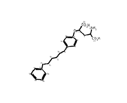 NC(CC(Oc1ccc(CCCCCCc2ccccc2)cc1)C(=O)O)C(=O)O